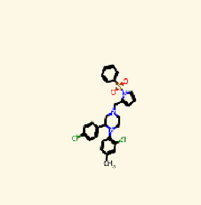 Cc1ccc(N2CCN(Cc3cccn3S(=O)(=O)c3ccccc3)CC2c2ccc(Cl)cc2)c(Cl)c1